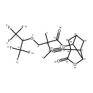 CCC(C)(COC(C(F)(F)F)C(F)(F)F)C(=O)OC1C2CC3C1OC(=O)C3(C#N)C2